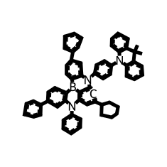 CC1(C)c2ccccc2N(c2ccc(N3c4cc(-c5ccccc5)ccc4B4c5ccc(-c6ccccc6)cc5N(c5ccccc5)c5cc(C6CCCCC6)cc3c54)cc2)c2ccccc21